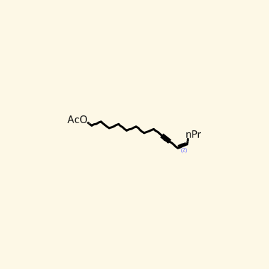 CCC/C=C\C#CCCCCCCCCOC(C)=O